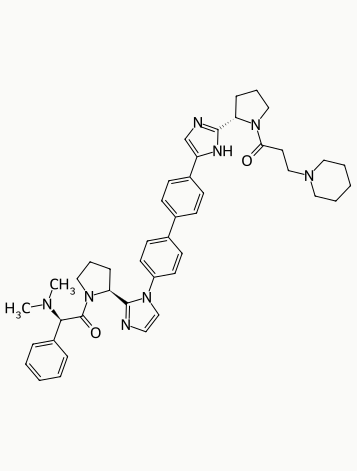 CN(C)[C@@H](C(=O)N1CCC[C@H]1c1nccn1-c1ccc(-c2ccc(-c3cnc([C@@H]4CCCN4C(=O)CCN4CCCCC4)[nH]3)cc2)cc1)c1ccccc1